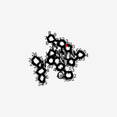 c1ccc(-n2c3ccccc3c3cccc(-c4nc(-c5ccc(-n6c7ccccc7c7cc8ccccc8cc76)cc5-c5ccc6c(c5)oc5ccccc56)nc(-c5cccc6c7ccccc7n(-c7ccccc7)c56)n4)c32)cc1